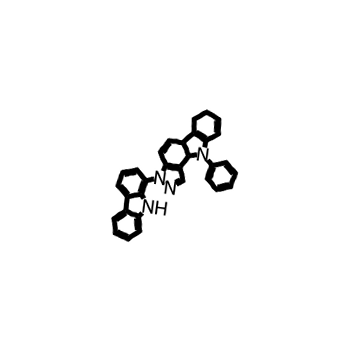 C1=CC2=C(CC1)C1C=Cc3c(cnn3-c3cccc4c3[nH]c3ccccc34)C1N2c1ccccc1